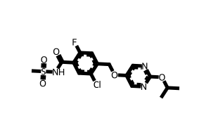 CC(C)Oc1ncc(OCc2cc(F)c(C(=O)NS(C)(=O)=O)cc2Cl)cn1